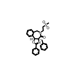 CS(=O)(=O)CCN1Cc2ccccc2[C@@H]2OC(c3ccccc3)=N[C@]2(Cc2ccccc2)C1=O